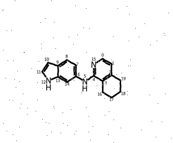 c1cc2c(c(Nc3ccc4cc[nH]c4c3)n1)CCCC2